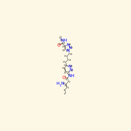 CC/C=C(\N)CC(=O)Nc1ccc(CCCCn2cc(C(=O)NC)nn2)nn1